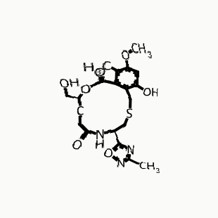 COc1cc(O)c2c(c1C)C(=O)O[C@H](CO)CCC(=O)N[C@H](c1nc(C)no1)CSC2